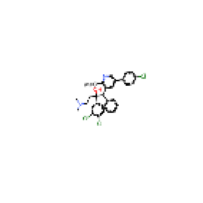 COc1ncc(-c2ccc(Cl)cc2)cc1C(c1ccccc1)C(O)(CCN(C)C)c1ccc(Cl)c(Cl)c1